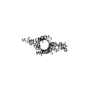 C/C(=C\c1csc(C)n1)[C@@H]1C[C@@H]2O[C@]2(C)CCC[C@H](C)[C@H](OC(=O)[C@H]2CC[C@H](CN3C(=O)C=CC3=O)CC2)[C@@H](C)C(=O)C(C)(C)[C@@H](O)CC(=O)N1